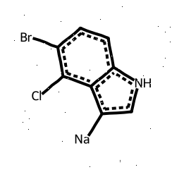 [Na][c]1c[nH]c2ccc(Br)c(Cl)c12